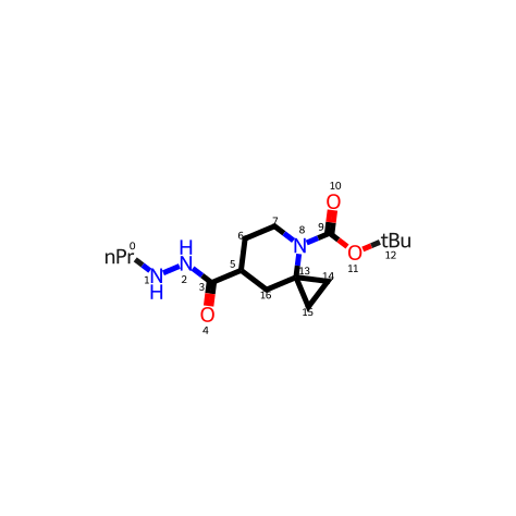 CCCNNC(=O)C1CCN(C(=O)OC(C)(C)C)C2(CC2)C1